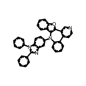 c1ccc(-c2nc3cc(N4c5ccccc5-c5ccncc5-c5oc6ccccc6c54)ccc3n2-c2ccccc2)cc1